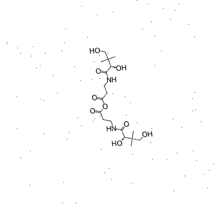 CC(C)(CO)[C@@H](O)C(=O)NCCC(=O)OC(=O)CCNC(=O)[C@H](O)C(C)(C)CO